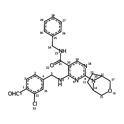 O=Cc1ccc(CNc2nc(N3C4CCC3COC4)ncc2C(=O)NCc2ccccc2)cc1Cl